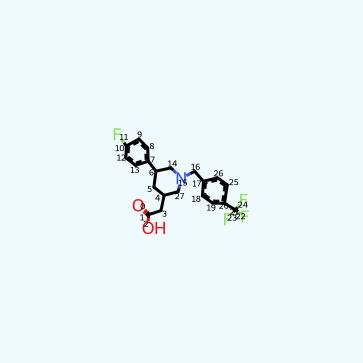 O=C(O)CC1CC(c2ccc(F)cc2)CN(Cc2ccc(C(F)(F)F)cc2)C1